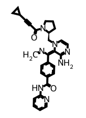 C=N/C(=C1/C(N)=NC=CN1C[C@@H]1CCCN1C(=O)C#CC1CC1)c1ccc(C(=O)Nc2ccccn2)cc1